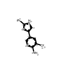 CC(C)c1nc(-c2cnc(N)c(C(F)(F)F)c2)c[nH]1